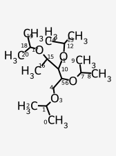 CC(C)OCC(OC(C)C)C(OC(C)C)C(C)OC(C)C